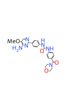 COc1cnc(-c2ccc(NC(=O)Nc3ccc(C(=O)N4CCOCC4)cc3)cc2)nc1N